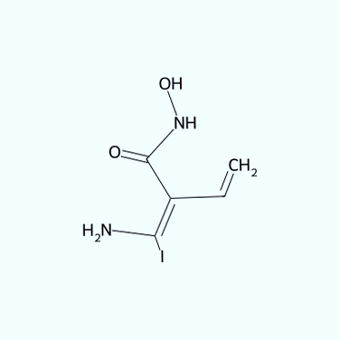 C=C/C(C(=O)NO)=C(/N)I